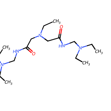 CCN(CC)CNC(=O)CN(CC)CC(=O)NCN(CC)CC